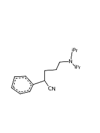 CC(C)N(CCCC(C#N)c1ccccc1)C(C)C